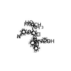 CC(CO)(CO)NCc1cc(Cl)c(OC[C@]2(OCCCN3CCC(O)C3)C=CC=C(c3ccccc3)C2(Cl)Cl)cc1OCc1cccc(C#N)c1